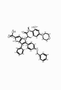 CC(C(=O)N(C)c1ccc(N2CCOCC2)cc1)n1c(-c2ccc(OCc3ccccc3)cc2)c(-c2ccccc2)c2sc(C(=O)O)cc21.Cl